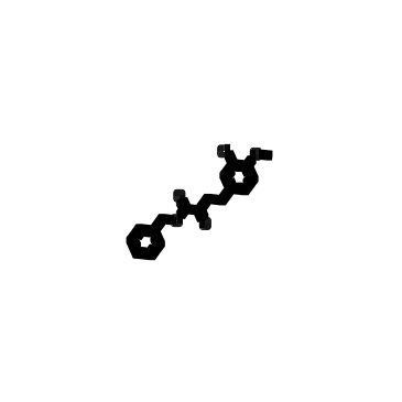 COc1ccc(CCC(=O)C(=O)OCc2ccccc2)cc1Cl